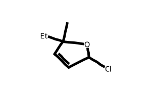 CCC1(C)C=CC(Cl)O1